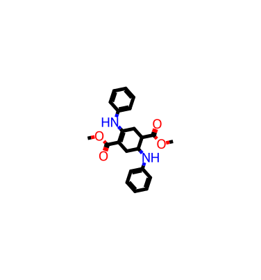 COC(=O)C1=C(Nc2ccccc2)CC(C(=O)OC)C(Nc2ccccc2)C1